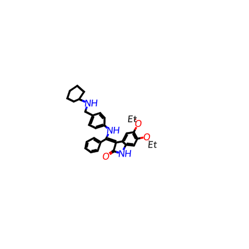 CCOc1cc2c(cc1OCC)C(=C(Nc1ccc(CNC3CCCCC3)cc1)c1ccccc1)C(=O)N2